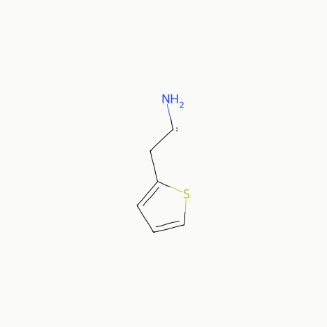 N[C]Cc1cccs1